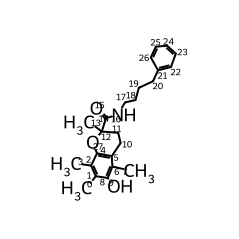 Cc1c(C)c2c(c(C)c1O)CCC(C)(C(=O)NCCCCc1ccccc1)O2